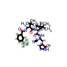 CC(C)(C)C(/C=N/C(=O)c1cccc(S(F)(F)(F)(F)F)c1)C(=O)N1C[C@H]2C([C@H]1C(=O)N[C@H](C#N)C[C@@H]1CCNC1=O)C2(C)C